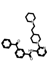 O=C(Nc1cccnc1N1CCC(CCN2CCCCC2)CC1)c1cccc(C(=O)c2ccccc2)c1